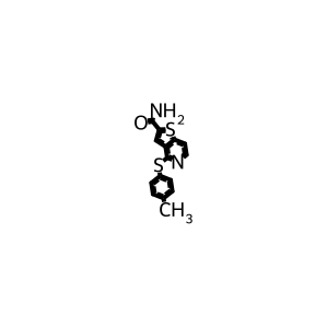 Cc1ccc(Sc2nccc3sc(C(N)=O)cc23)cc1